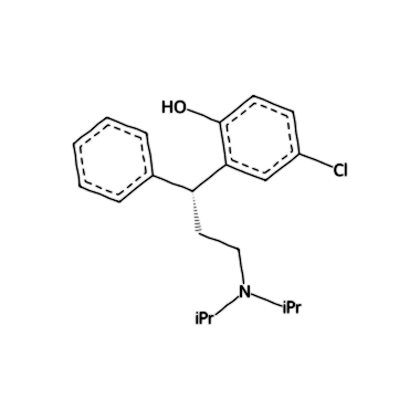 CC(C)N(CC[C@H](c1ccccc1)c1cc(Cl)ccc1O)C(C)C